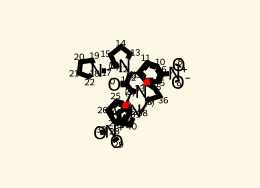 O=C([C@H](c1ccc([N+](=O)[O-])cc1)N1CCC[C@H]1CN1CCCC1)[C@H](c1ccc([N+](=O)[O-])cc1)N1CCC[C@H]1CN1CCCC1